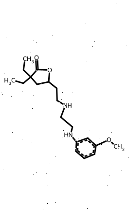 CCC1(CC)CC(CCNCCNc2cccc(OC)c2)OC1=O